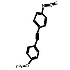 CCCOc1ccc(C#Cc2ccc(N=C=S)cc2)cc1